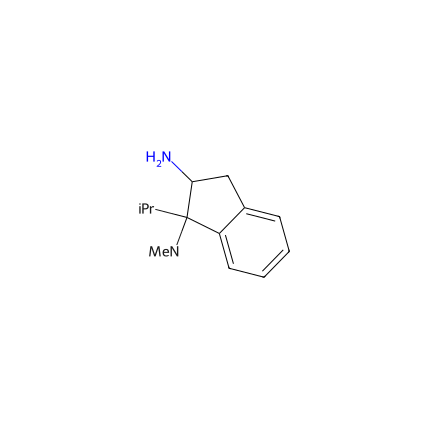 CNC1(C(C)C)c2ccccc2CC1N